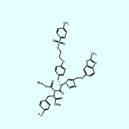 COC(=O)[C@@H](Cc1ccc(C(F)(F)F)cc1)N(C(=O)OC(C)(C)C)C(=O)[C@H](Cc1ccc(OCCOS(=O)(=O)c2ccc(C)cc2)cc1)n1cc(COc2ccc3nc(C)sc3c2)nn1